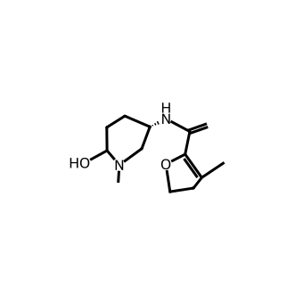 C=C(N[C@H]1CCC(O)N(C)C1)C1=C(C)CCO1